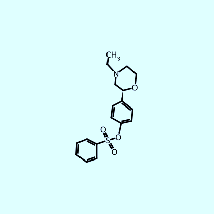 CCN1CCO[C@@H](c2ccc(OS(=O)(=O)c3ccccc3)cc2)C1